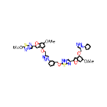 COc1cc(OCc2cn(-c3cccc(COc4nn5cc(-c6cc7c(OCc8cnnn8-c8ccccc8)cc(OC)cc7o6)nc5s4)c3)nn2)c2cc(-c3cn4nc(OC)sc4n3)oc2c1